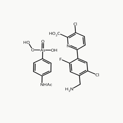 CC(=O)Nc1ccc([As](=O)(O)OO)cc1.NCc1cc(F)c(-c2ccc(Cl)c(C(=O)O)n2)cc1Cl